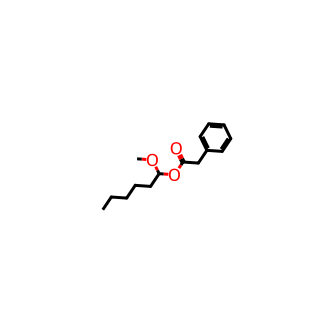 CCCCCC(OC)OC(=O)Cc1ccccc1